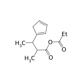 CCC(=O)OC(=O)C(C)C(C)C1=CC=CC1